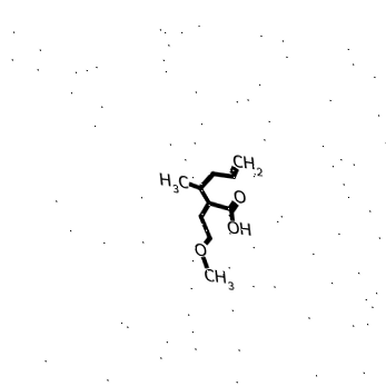 C=CCC(C)C(CCOC)C(=O)O